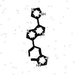 C=c1[nH]cn/c1=C/C(=C\C)c1csc2c(-c3cnc[nH]3)csc12